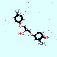 Cc1cc(SC[C@@H](O)COc2ccc(C(F)(F)F)cc2)ccc1[O]